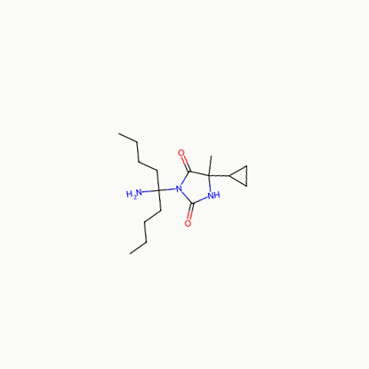 CCCCC(N)(CCCC)N1C(=O)NC(C)(C2CC2)C1=O